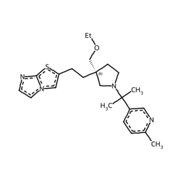 CCOC[C@]1(CCc2cn3ccnc3s2)CCN(C(C)(C)c2ccc(C)nc2)C1